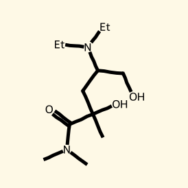 CCN(CC)C(CO)CC(C)(O)C(=O)N(C)C